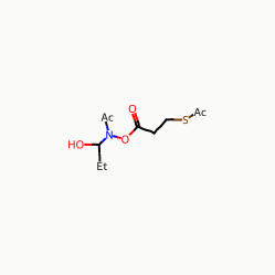 CCC(O)N(OC(=O)CCSC(C)=O)C(C)=O